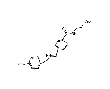 CCCCCCCCCCCCNC(=O)c1ccc(CNCc2ccc(C(F)(F)F)cc2)cc1